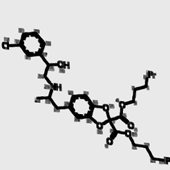 CC(C)CCCOC(=O)C1(C(=O)OCCCC(C)C)Oc2ccc(CC(C)NCC(O)c3cccc(Cl)c3)cc2O1